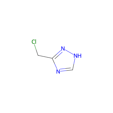 ClCc1nc[nH]n1